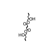 C=CCC(O)COC(=O)/C=C/C(=O)OCC(O)CC=C